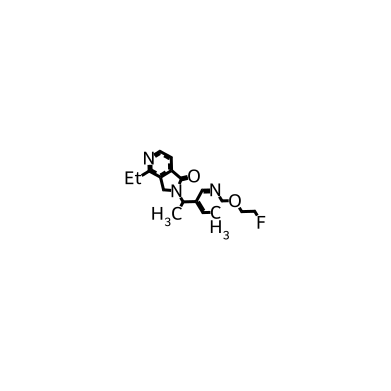 C/C=C(\C=N/COCCF)C(C)N1Cc2c(ccnc2CC)C1=O